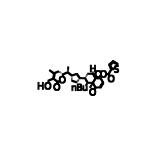 CCCC[C@H]1[C@H]([C@@H]2CC[C@H]([C@H](C)[C@H]3CC(C)=C(CO)C(=O)O3)C2)C[C@H]2O[C@]23[C@@H](OC(=O)c2cccs2)C=CC(=O)[C@]13C